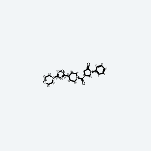 O=C([C@H]1CC(=O)N(c2ccccc2)C1)N1CCC(c2nc(N3CCOCC3)no2)CC1